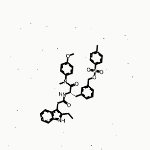 CCc1[nH]c2ccccc2c1CC(=O)N[C@@H](Cc1cccc(COS(=O)(=O)c2ccc(C)cc2)c1)C(=O)N(C)c1ccc(OC)cc1